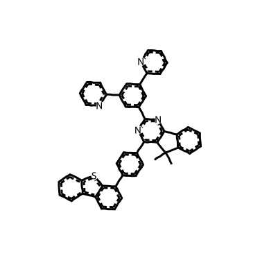 CC1(C)c2ccccc2-c2nc(-c3cc(-c4ccccn4)cc(-c4ccccn4)c3)nc(-c3ccc(-c4cccc5c4sc4ccccc45)cc3)c21